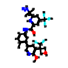 COc1ncc(-c2cc(NC(=O)c3cc(C(F)(F)F)cc(C(C)(C)N)n3)ccc2C)cc1C1(C(F)F)COC1